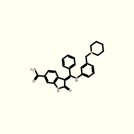 NC(=O)c1ccc2c(c1)NC(=O)/C2=C(\Nc1cccc(CN2CCCCC2)c1)c1ccccc1